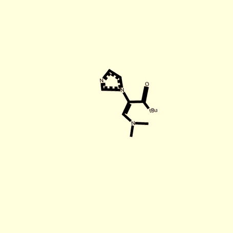 CN(C)C=C(C(=O)C(C)(C)C)n1ccnc1